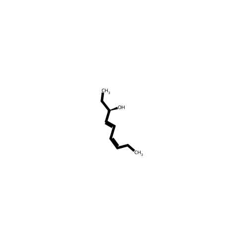 CC/C=C\C=C\[C@H](O)CC